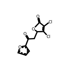 O=C1OC(CC(=O)c2ccco2)C(Cl)=C1Cl